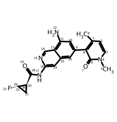 Cc1ccn(C)c(=O)c1-c1cc(N)c2cnc(NC(=O)[C@H]3C[C@@H]3F)cc2c1